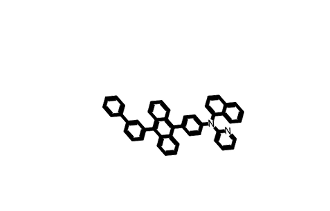 c1ccc(-c2cccc(-c3c4ccccc4c(-c4ccc(N(c5ccccn5)c5cccc6ccccc56)cc4)c4ccccc34)c2)cc1